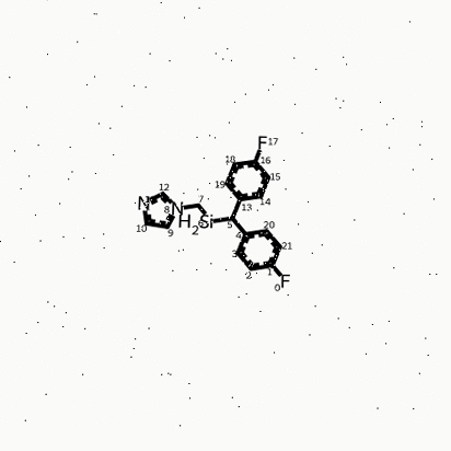 Fc1ccc(C([SiH2]Cn2ccnc2)c2ccc(F)cc2)cc1